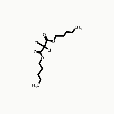 CCCCCOC(=O)C(Cl)(Cl)C(=O)OCCCCC